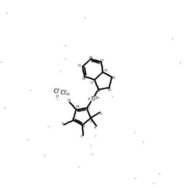 CC1=C(C)C(C)(C)[C]([Ti+2][CH]2CCC3C=CC=CC32)=C1C.[Cl-].[Cl-]